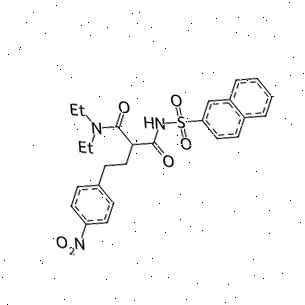 CCN(CC)C(=O)C(CCc1ccc([N+](=O)[O-])cc1)C(=O)NS(=O)(=O)c1ccc2ccccc2c1